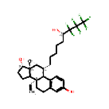 C=C[C@@]12CCc3cc(O)ccc3C1[C@@H](CCCCC[C@H](O)C(F)(F)C(F)(F)C(F)(F)F)C[C@@]1(C)C2CC[C@@H]1O